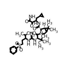 CC(C)C(CCS(=O)(=O)c1ccccc1)NC(=O)N[C@H](C(=O)N1CC2[C@@H]([C@H]1C(=O)NC(CC1CC1)C(=O)C(N)=O)C2(C)C)C(C)(C)C